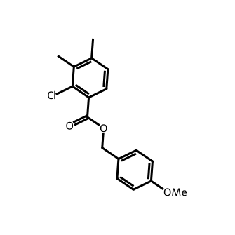 COc1ccc(COC(=O)c2ccc(C)c(C)c2Cl)cc1